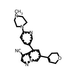 CN1CCN(c2ccc(-c3cc(C4=CCOCC4)cn4ncc(C#N)c34)cn2)CC1